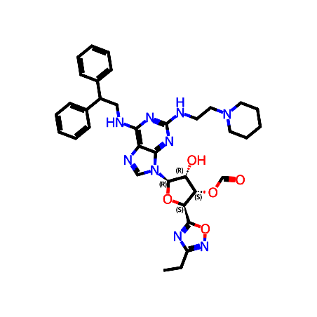 CCc1noc([C@H]2O[C@@H](n3cnc4c(NCC(c5ccccc5)c5ccccc5)nc(NCCN5CCCCC5)nc43)[C@H](O)[C@@H]2OC=O)n1